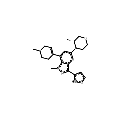 C[C@@H]1COCCN1c1cc(C2=CCN(C)CC2)c2c(n1)c(-c1ccn[nH]1)nn2C